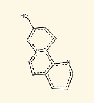 Oc1ccc2c(ccc3cccnc32)c1